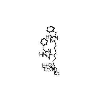 CCO[Si](CCCC(CCCc1n[nH]c(Cc2ccccc2)n1)c1n[nH]c(Cc2ccccc2)n1)(OCC)OCC